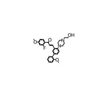 COc1ccc(C(=O)C=Cc2cc(-c3ccccc3OC)ccc2N2CCN(CCO)CC2)c(F)c1